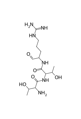 CC(O)C(N)C(=O)NC(C(=O)NC(C=O)CCCNC(=N)N)C(C)O